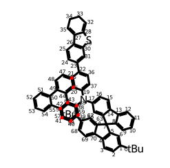 CC(C)(C)c1ccc2c(c1)C1(c3ccccc3-c3ccc(N(c4ccc(-c5ccc6c7c(sc6c5)=CCCC=7)cc4)c4ccccc4-c4ccccc4-c4ccccc4-c4ccccc4)cc31)c1cc(C(C)(C)C)ccc1-2